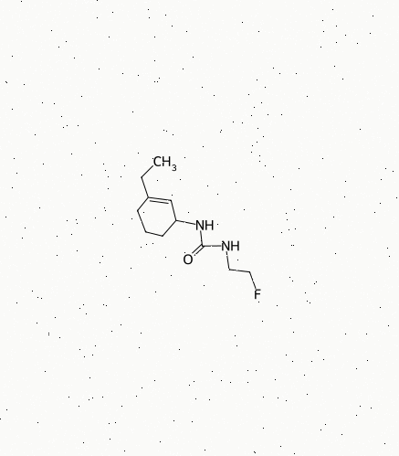 CCC1=CC(NC(=O)NCCF)CCC1